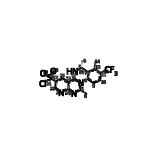 Cc1nc(N[C@H](C)c2cccc(C(F)(F)F)c2C)c2cc(S(=O)(=O)Cl)cnc2n1